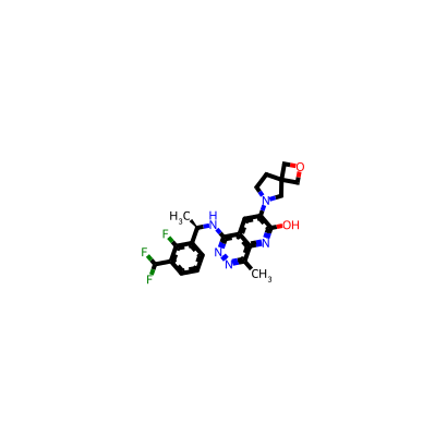 Cc1nnc(N[C@H](C)c2cccc(C(F)F)c2F)c2cc(N3CCC4(COC4)C3)c(O)nc12